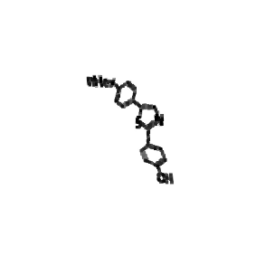 CCCCCCc1ccc(-c2cnc(-c3ccc(O)cc3)s2)cc1